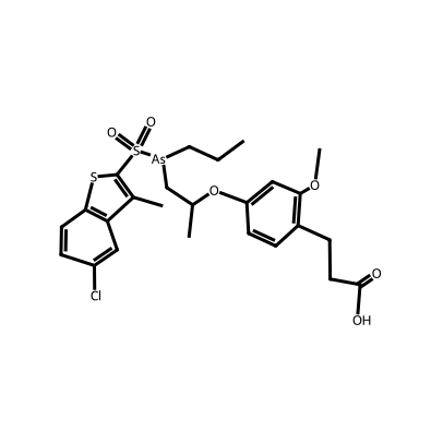 CCC[As](CC(C)Oc1ccc(CCC(=O)O)c(OC)c1)S(=O)(=O)c1sc2ccc(Cl)cc2c1C